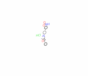 Cc1oc(-c2ccccc2)cc1CN(C)[C@H]1CC[C@H](c2ccc3[nH]c(=O)oc3c2)CC1.Cl